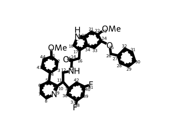 COc1ccc(-c2cccnc2C(CNC(=O)Cc2c[nH]c3cc(OC)c(OCc4ccccc4)cc23)c2cc(F)cc(F)c2)cc1